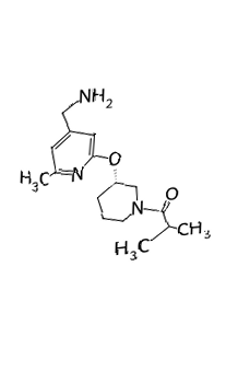 Cc1cc(CN)cc(O[C@H]2CCCN(C(=O)C(C)C)C2)n1